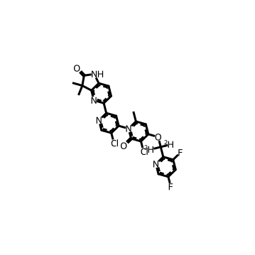 [2H]C([2H])(Oc1cc(C)n(-c2cc(-c3ccc4c(n3)C(C)(C)C(=O)N4)ncc2Cl)c(=O)c1Cl)c1ncc(F)cc1F